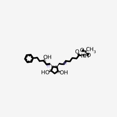 CS(=O)(=O)NC(=O)CCC/C=C/C[C@@H]1[C@@H](/C=C/[C@@H](O)CCc2ccccc2)[C@H](O)C[C@@H]1O